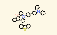 c1ccc(-n2c3ccccc3c3cc(-c4ccc(N(c5ccc(-c6cccc7sc8ccccc8c67)cc5)c5cccc6oc7c8ccccc8ccc7c56)cc4)ccc32)cc1